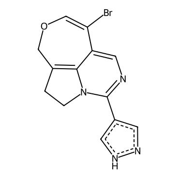 BrC1=COCC2=C3C1=CN=C(c1cn[nH]c1)N3CC2